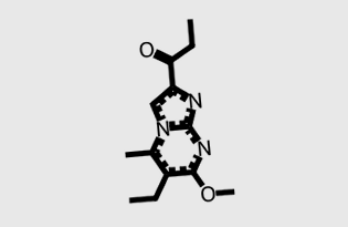 CCC(=O)c1cn2c(C)c(CC)c(OC)nc2n1